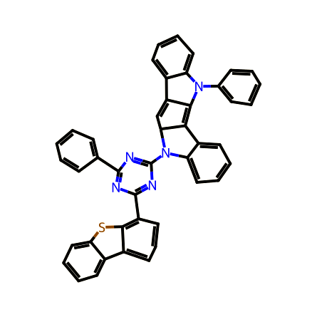 C1=c2c(n(-c3ccccc3)c3ccccc23)=C2c3ccccc3N(c3nc(-c4ccccc4)nc(-c4cccc5c4sc4ccccc45)n3)C12